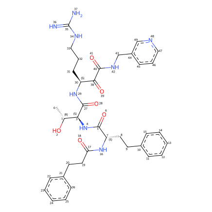 C[C@@H](O)[C@H](NC(=O)[C@H](CCc1ccccc1)NC(=O)CCc1ccccc1)C(=O)N[C@@H](CCCNC(=N)N)C(=O)C(=O)NCc1cccnc1